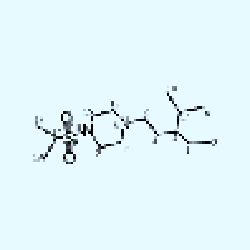 CCC(CCN1CCN(S(=O)(=O)C(C)C)CC1)C(C)C